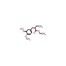 CCOC(=O)C(CC)CC1=CC=C(OC)C(=NO)C1